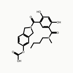 CCCCN(C)C(=O)c1cc(C(=O)N2Cc3ccc(OC(=O)O)cc3C2)c(O)cc1O